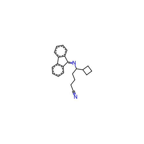 N#CCCCC(N=C1c2ccccc2-c2ccccc21)C1CCC1